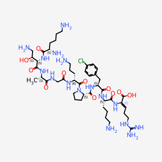 C[C@H](NC(=O)[C@@H](NC(=O)[C@@H](N)CCCCN)[C@@H](O)CN)C(=O)NCC(=O)N[C@H](CCCN)C(=O)N1CCC[C@H]1C(=O)N[C@@H](Cc1ccc(Cl)cc1)C(=O)N[C@@H](CCCCN)C(=O)N/C(=C\CCNC(=N)N)C(=O)O